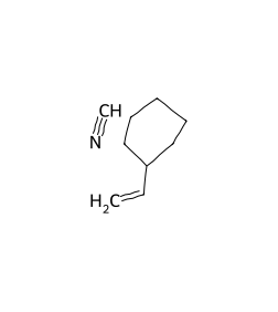 C#N.C=CC1CCCCC1